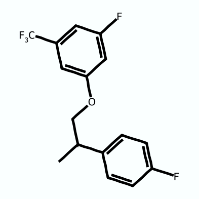 C[C](COc1cc(F)cc(C(F)(F)F)c1)c1ccc(F)cc1